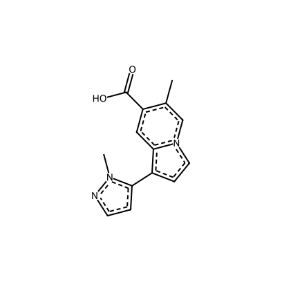 Cc1cn2ccc(-c3ccnn3C)c2cc1C(=O)O